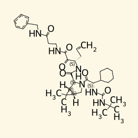 C=CC[C@H](NC(=O)[C@@H]1[C@@H]2[C@H](CN1C(=O)[C@@H](NC(=O)NC(C)(C)C)C1CCCCC1)C2(C)C)C(=O)C(=O)NCCC(=O)NCc1ccccc1